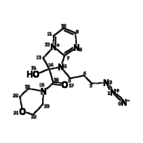 [N-]=[N+]=NCCCN1c2nccc[n+]2CC1(O)C(=O)N1CCOCC1